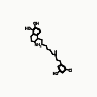 NC1CCc2c(ccc(O)c2O)C1CCCCCCNCCc1cc(O)cc(Cl)c1